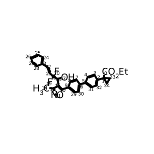 CCOC(=O)C1(c2ccc(-c3ccc(-c4onc(C)c4C(O)C(F)(F)C=Cc4ccccc4)cc3)cc2)CC1